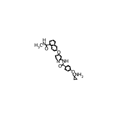 CNC(=O)c1cccc2cc(Oc3ccnc(NC(=O)c4ccc(OCC5(N)CC5)cc4)c3)ccc12